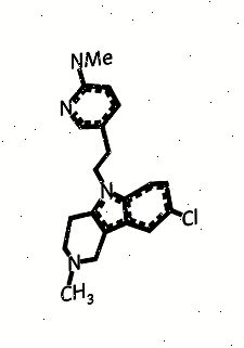 CNc1ccc(CCn2c3c(c4cc(Cl)ccc42)CN(C)CC3)cn1